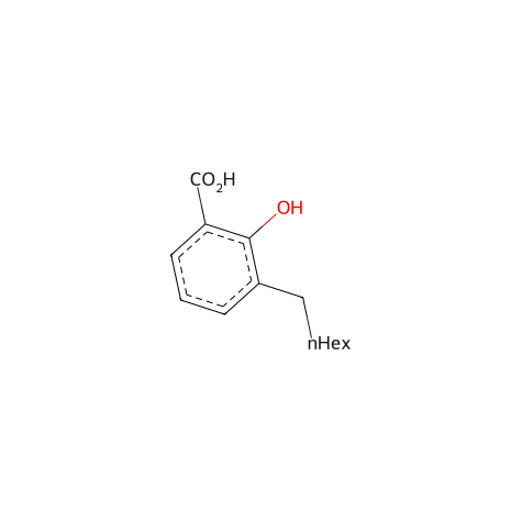 CCCCCCCc1cccc(C(=O)O)c1O